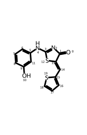 O=C1N=C(Nc2cccc(O)c2)S/C1=C\c1cccs1